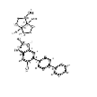 O[C@@H]1CO[C@@H]2[C@H]1OC[C@@H]2Oc1nc2cc(-c3ccc(-c4ccccc4)cc3)c(Cl)cc2[nH]1